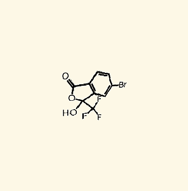 O=C1OC(O)(C(F)(F)F)c2cc(Br)ccc21